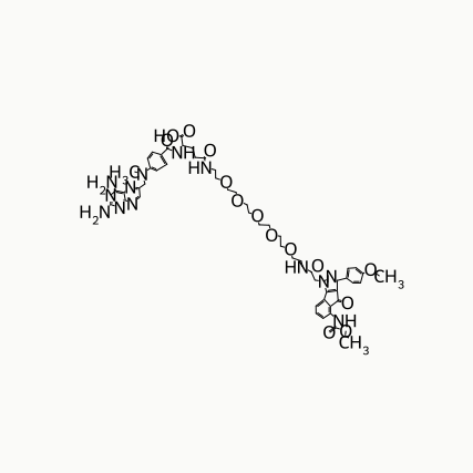 COC(=O)Nc1cccc2c1C(=O)c1c(-c3ccc(OC)cc3)nn(CC(=O)NCCOCCOCCOCCOCCOCCNC(=O)CCC(NC(=O)c3ccc(N(C)Cc4cnc5nc(N)nc(N)c5n4)cc3)C(=O)O)c1-2